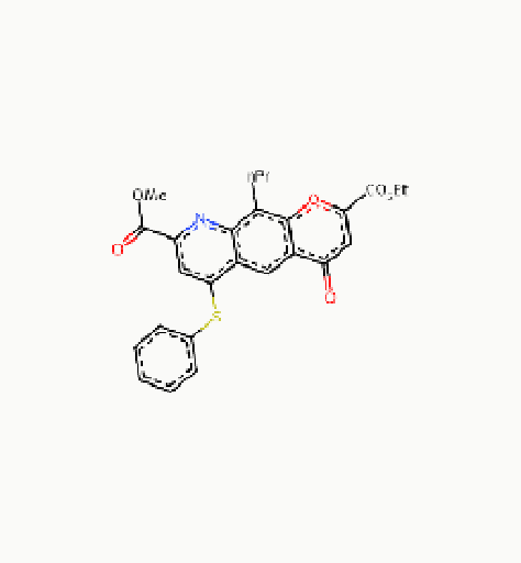 CCCc1c2nc(C(=O)OC)cc(Sc3ccccc3)c2cc2c(=O)cc(C(=O)OCC)oc12